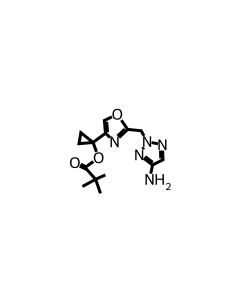 CC(C)(C)C(=O)OC1(c2coc(Cn3ncc(N)n3)n2)CC1